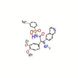 CCOc1cc(C(C(=O)NS(=O)(=O)c2cccc(C#N)c2)N(N)c2ccc3cnccc3c2)ccc1OC(C)C